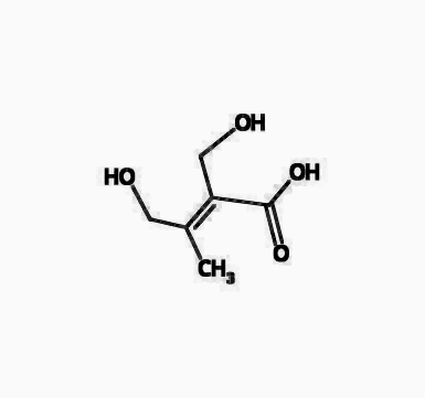 CC(CO)=C(CO)C(=O)O